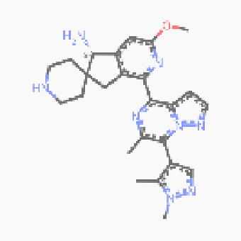 COc1cc2c(c(-c3nc(C)c(-c4cnn(C)c4C)n4nccc34)n1)CC1(CCNCC1)[C@@H]2N